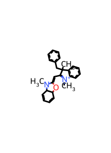 CN1C(=CC2=[N+](C)c3ccccc3C2(C)Cc2ccccc2)OC2C=CC=CC21